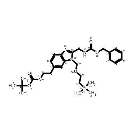 CC(C)(C)OC(=O)NCCc1ccc2nc(CNC(=O)OCc3ccccc3)n(COCC[Si](C)(C)C)c2c1